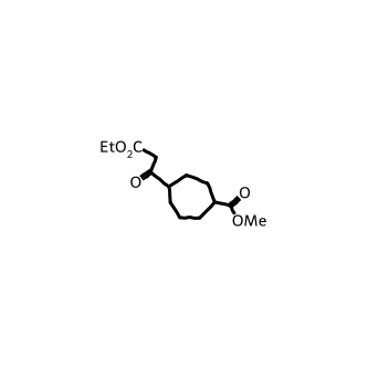 CCOC(=O)CC(=O)C1CCCC(C(=O)OC)CC1